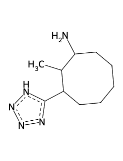 CC1C(N)CCCCCC1c1nnn[nH]1